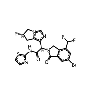 O=C(Nc1nccs1)[C@@H](c1ncn2c1C[C@@H](F)C2)N1Cc2c(cc(Br)cc2C(F)F)C1=O